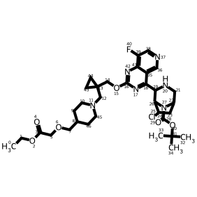 CCOC(=O)COCC1CCN(CC2(COc3nc(C4NCC5CC(Cl)C4N5C(=O)OC(C)(C)C)c4cncc(F)c4n3)CC2)CC1